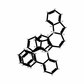 C(=C/c1cc2ccccc2n1-c1ccccc1-c1ccccc1)/c1cc2ccccc2n1-c1ccc(-c2ccccc2)cc1